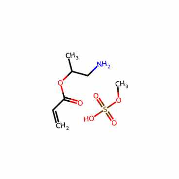 C=CC(=O)OC(C)CN.COS(=O)(=O)O